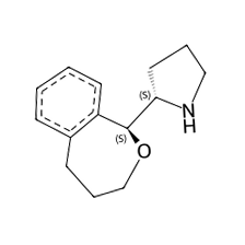 c1ccc2c(c1)CCCO[C@@H]2[C@@H]1CCCN1